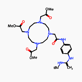 C=C(Nc1ccc(NC(=O)CN2CCN(CC(=O)OC)CCN(CC(=O)OC)CCN(CC(=O)OC)CC2)cc1)NC(C)(C)C